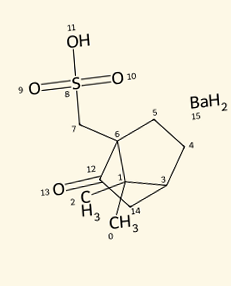 CC1(C)C2CCC1(CS(=O)(=O)O)C(=O)C2.[BaH2]